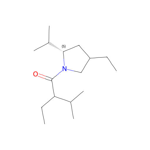 CCC1C[C@@H](C(C)C)N(C(=O)C(CC)C(C)C)C1